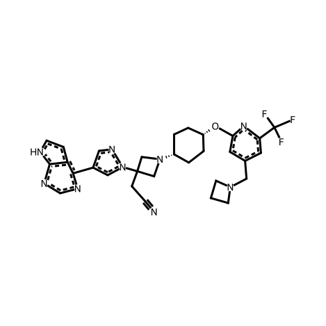 N#CCC1(n2cc(-c3ncnc4[nH]ccc34)cn2)CN([C@H]2CC[C@@H](Oc3cc(CN4CCC4)cc(C(F)(F)F)n3)CC2)C1